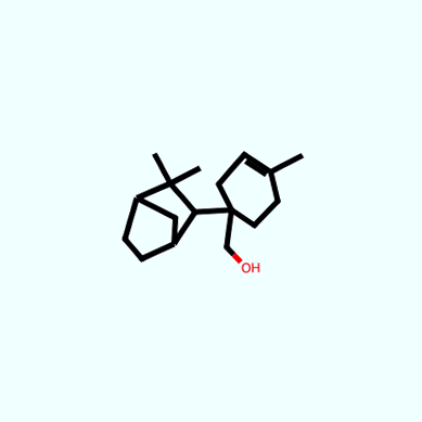 CC1=CCC(CO)(C2C3CCC(C3)C2(C)C)CC1